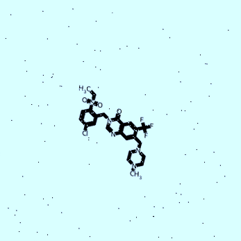 CCS(=O)(=O)c1ccc(Cl)cc1Cn1cnc2cc(CN3CCN(C)CC3)c(C(F)(F)F)cc2c1=O